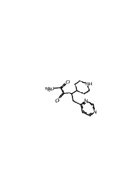 CCCCC(=O)C(=O)C(Cc1ccncn1)C1CCNCC1